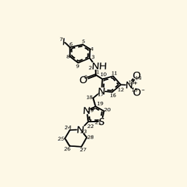 O=C(Nc1ccc(I)cc1)c1cc([N+](=O)[O-])cn1Cc1csc(N2CCCCC2)n1